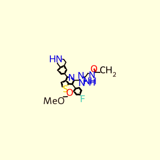 C=CC(=O)NCc1nc(-c2nc(-c3ccc4c(c3)CCNC4)c3ccsc3c2-c2ccc(F)cc2OCCOC)n[nH]1